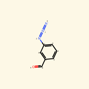 [N-]=[N+]=Nc1cccc([C]=O)c1